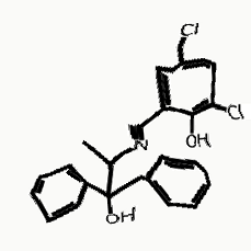 CC(N=Cc1cc(Cl)cc(Cl)c1O)C(O)(c1ccccc1)c1ccccc1